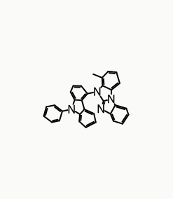 Cc1cccc2c1n(-c1cccc3c1c1ccccc1n3-c1ccccc1)c1nc3ccccc3n21